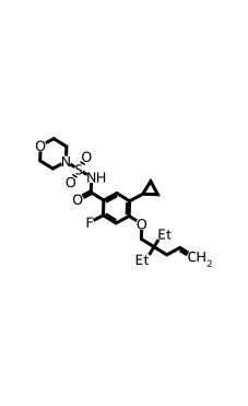 C=CCC(CC)(CC)COc1cc(F)c(C(=O)NS(=O)(=O)N2CCOCC2)cc1C1CC1